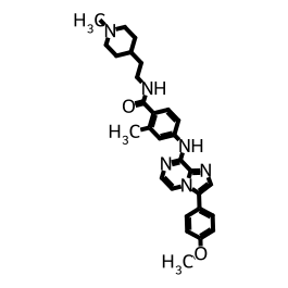 COc1ccc(-c2cnc3c(Nc4ccc(C(=O)NCCC5CCN(C)CC5)c(C)c4)nccn23)cc1